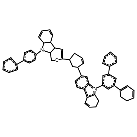 C1=CCCC(c2cc(-c3ccccc3)cc(-n3c4c(c5ccc(C6C=CCC(C7=CC8C9C=CC=CC9N(c9ccc(-c%10ccccc%10)cc9)C8CC7)C6)cc53)C=CCC4)c2)=C1